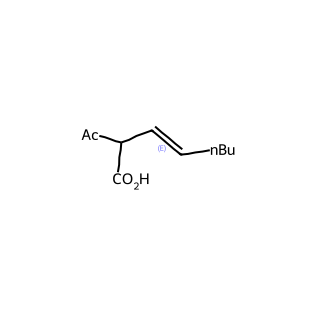 CCCC/C=C/C(C(C)=O)C(=O)O